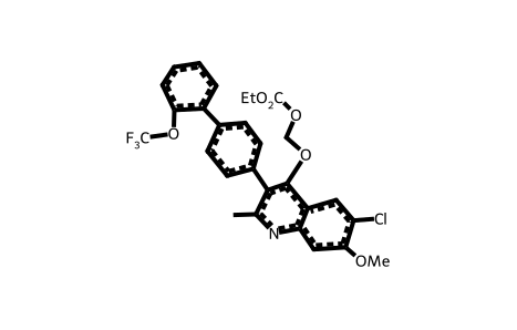 CCOC(=O)OCOc1c(-c2ccc(-c3ccccc3OC(F)(F)F)cc2)c(C)nc2cc(OC)c(Cl)cc12